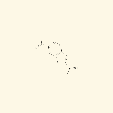 N=C(N)c1ccc2cc(C(=N)N)[nH]c2c1